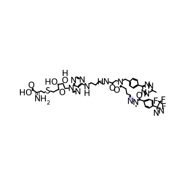 Cc1nnc(-c2ccc(CN(CC(=O)NCCCCNc3ncnc4c3ncn4C3OC(CSCC[C@H](N)C(=O)O)C(O)C3O)C(=O)CC/C=N/N(C)C(=O)c3ccc(C4(C(F)(F)F)N=N4)cc3)cc2)nn1